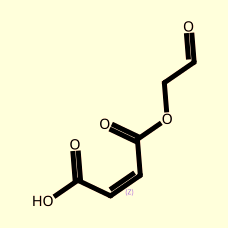 O=CCOC(=O)/C=C\C(=O)O